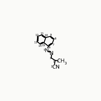 CC(C#N)CN=Nc1cccc2ccccc12